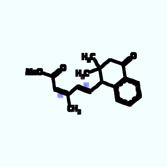 COC(=O)/C=C(C)\C=C\C1c2ccccc2C(=O)CC1(C)C